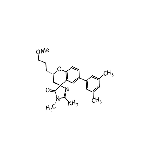 COCCC[C@H]1C[C@]2(N=C(N)N(C)C2=O)c2cc(-c3cc(C)cc(C)c3)ccc2O1